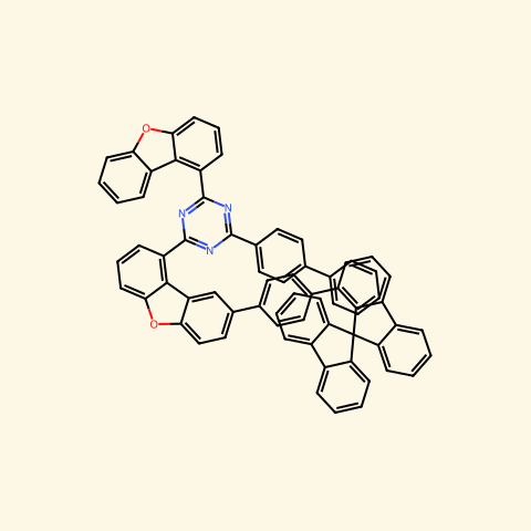 c1ccc(-c2ccc(-c3nc(-c4cccc5oc6ccccc6c45)nc(-c4cccc5oc6ccc(-c7ccc(-c8cccc9c8C8(c%10ccccc%10-c%10ccccc%108)c8ccccc8-9)cc7)cc6c45)n3)cc2)cc1